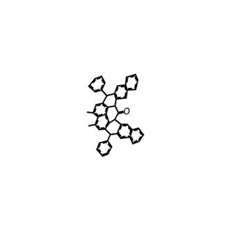 Cc1cc2c3c4c5c(cc(C)c14)C(c1ccccc1)c1cc4ccccc4cc1C5C(=O)C3c1cc3ccccc3cc1C2c1ccccc1